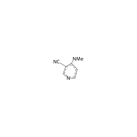 CNc1ccncc1C#N